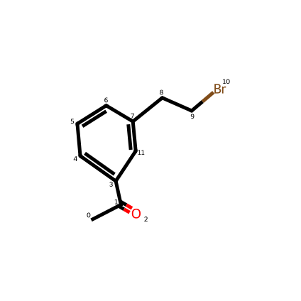 CC(=O)c1cccc(CCBr)c1